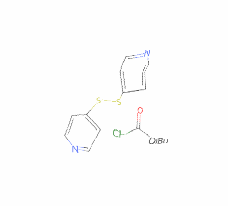 CC(C)COC(=O)Cl.c1cc(SSc2ccncc2)ccn1